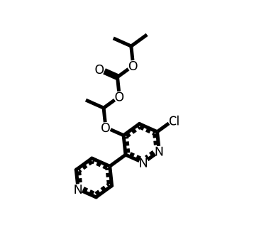 CC(C)OC(=O)OC(C)Oc1cc(Cl)nnc1-c1ccncc1